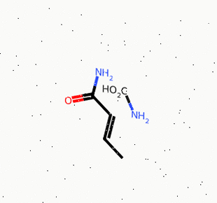 CC=CC(N)=O.NC(=O)O